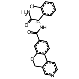 NC(=O)[C@@H](NC(=O)c1ccc2c(c1)OCc1cnccc1-2)c1ccccc1Cl